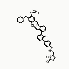 COc1cc(Cn2ncc3c(-c4cccc(-c5ccc(CNCC6CCC(=O)N6)cc5)c4Cl)cccc32)c(Cl)cc1CN1CCCCC1